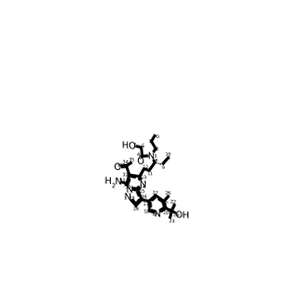 CCCN(C(=O)CO)[C@H](CC)CCc1nc2c(-c3cnc(C(C)(C)O)c(C)c3)cnn2c(N)c1C(C)=O